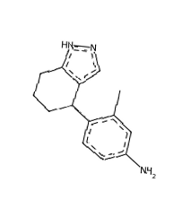 Cc1cc(N)ccc1C1CCCc2[nH]ncc21